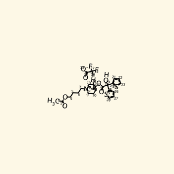 CC(=O)OCCCC[N+]12CCC(CC1)[C@@H](OC(=O)C(O)(c1cccs1)c1cccs1)C2.O=C([O-])C(F)(F)F